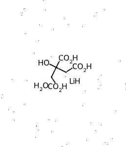 O.O=C(O)CC(O)(CC(=O)O)C(=O)O.[LiH]